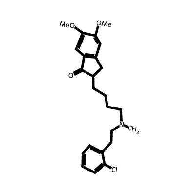 COc1cc2c(cc1OC)C(=O)C(CCCCN(C)CCc1ccccc1Cl)C2